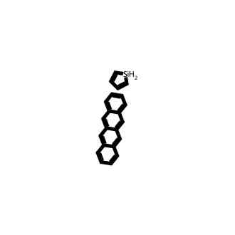 C1=C[SiH2]C=C1.c1ccc2cc3cc4ccccc4cc3cc2c1